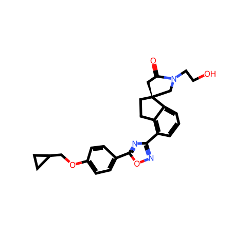 O=C1C[C@@]2(CCc3c(-c4noc(-c5ccc(OCC6CC6)cc5)n4)cccc32)CN1CCO